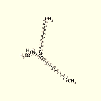 CCCCCC=CCC=CCCCCCCCCOCC(CCN(C)CCOC)OCCCCCCCCC=CCC=CCCCCC